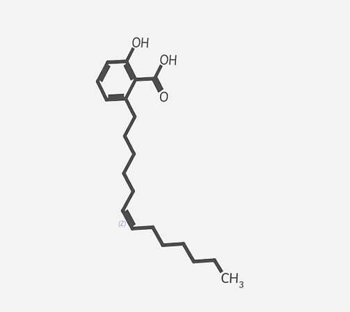 CCCCCC/C=C\CCCCCc1cccc(O)c1C(=O)O